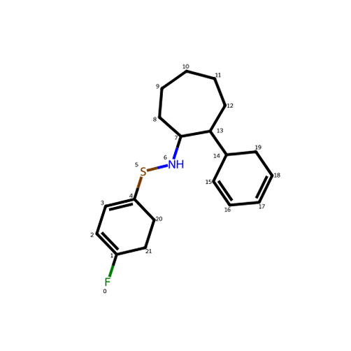 FC1=CC=C(SNC2CCCCCC2C2C=CC=CC2)CC1